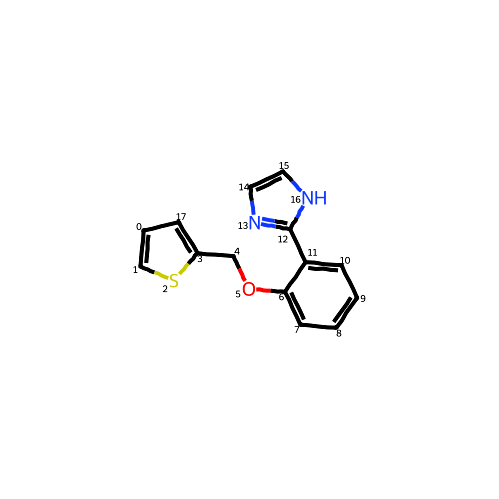 c1csc(COc2ccccc2-c2ncc[nH]2)c1